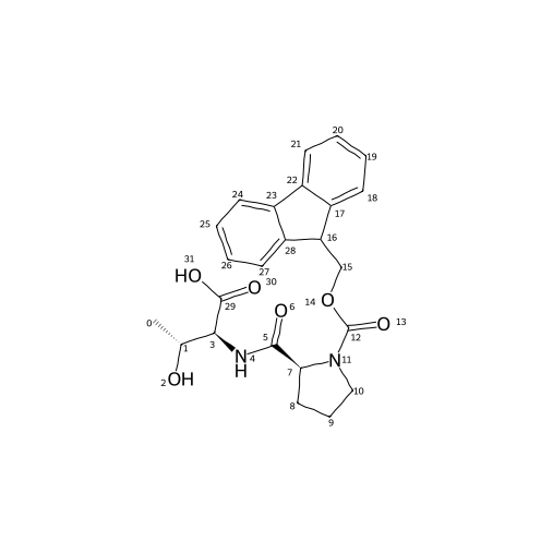 C[C@@H](O)[C@H](NC(=O)[C@@H]1CCCN1C(=O)OCC1c2ccccc2-c2ccccc21)C(=O)O